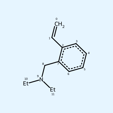 C=Cc1ccccc1CN(CC)CC